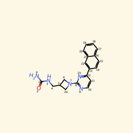 NC(=O)NCC1CN(c2nccc(-c3ccc4ccccc4c3)n2)C1